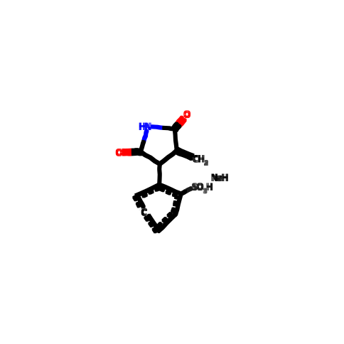 C=C1C(=O)NC(=O)C1c1ccccc1S(=O)(=O)O.[NaH]